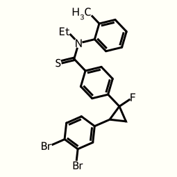 CCN(C(=S)c1ccc(C2(F)CC2c2ccc(Br)c(Br)c2)cc1)c1ccccc1C